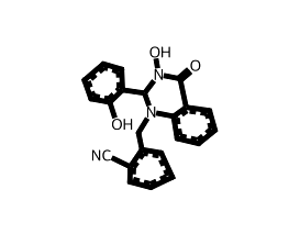 N#Cc1ccccc1CN1c2ccccc2C(=O)N(O)C1c1ccccc1O